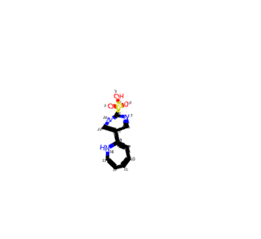 O=S(=O)(O)c1ncc(C2=CC=CC=CN2)cn1